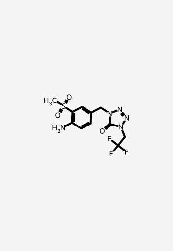 CS(=O)(=O)c1cc(Cn2nnn(CC(F)(F)F)c2=O)ccc1N